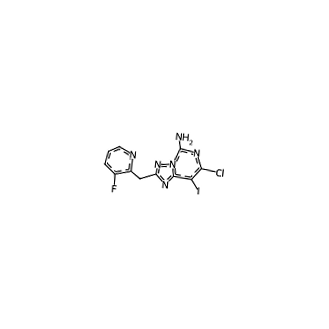 Nc1nc(Cl)c(I)c2nc(Cc3ncccc3F)nn12